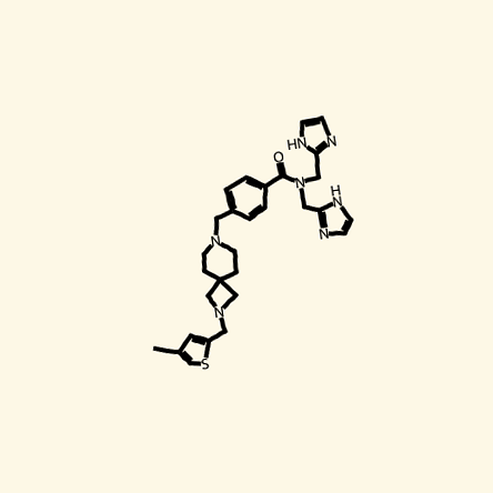 Cc1csc(CN2CC3(CCN(Cc4ccc(C(=O)N(Cc5ncc[nH]5)Cc5ncc[nH]5)cc4)CC3)C2)c1